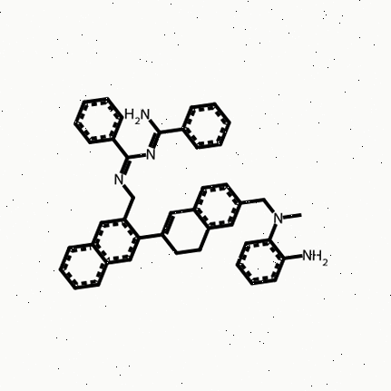 CN(Cc1ccc2c(c1)CCC(c1cc3ccccc3cc1C/N=C(\N=C(/N)c1ccccc1)c1ccccc1)=C2)c1ccccc1N